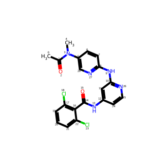 CC(=O)N(C)c1ccc(Nc2cc(NC(=O)c3c(Cl)cccc3Cl)ccn2)nc1